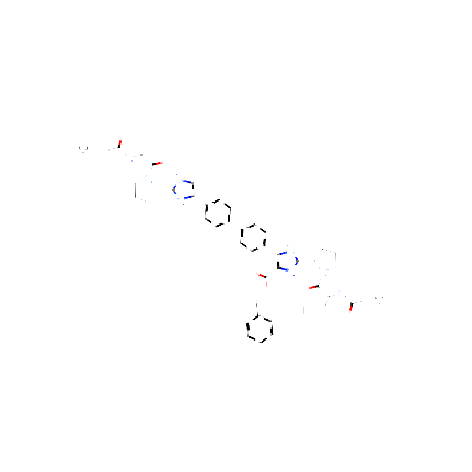 COC(=O)N[C@@H](C)C(=O)N1CCC[C@H]1c1ncc(-c2ccc(-c3ccc(-c4[nH]c([C@@H]5CCCN5C(=O)[C@H](C)NC(=O)OC)nc4C(=O)OCc4ccccc4)cc3)cc2)[nH]1